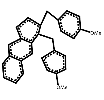 COc1ccc(Cc2ccc3cc4ccccc4cc3c2Cc2ccc(OC)cc2)cc1